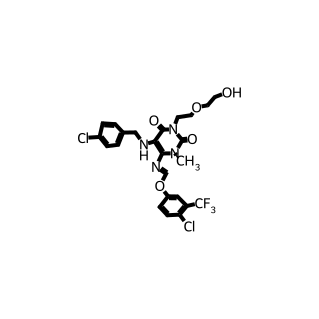 Cn1c(/N=C/Oc2ccc(Cl)c(C(F)(F)F)c2)c(NCc2ccc(Cl)cc2)c(=O)n(CCOCCO)c1=O